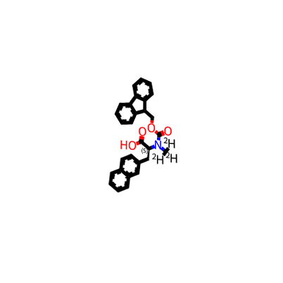 [2H]C([2H])([2H])N(C(=O)OCC1c2ccccc2-c2ccccc21)[C@@H](Cc1ccc2ccccc2c1)C(=O)O